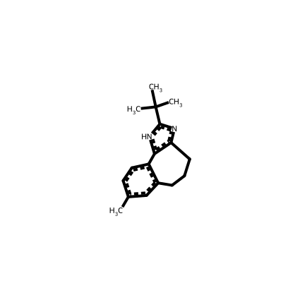 Cc1ccc2c(c1)CCCc1nc(C(C)(C)C)[nH]c1-2